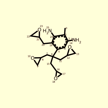 Cc1c(N)cc(C(CC2CO2)(CC2CO2)CC2CO2)c(CC2CO2)c1N